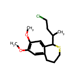 COc1cc2c(cc1OC)C(C(C)CCCl)SCCC2